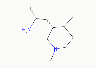 CC1CCN(C)C[C@@H]1C[C@@H](C)N